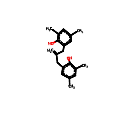 C=C(Cc1cc(C)cc(C)c1O)Cc1cc(C)cc(C)c1O